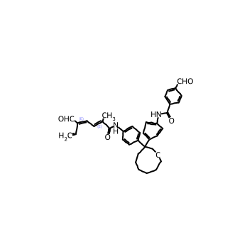 C=C/C(C=O)=C\C=C(/C)C(=O)Nc1ccc(C2(c3ccc(NC(=O)c4ccc(C=O)cc4)cc3)CCCCCCCC2)cc1